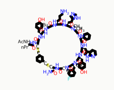 CCC[C@H](NC(C)=O)C(=O)N[C@H]1CSCc2cccc(c2)CSC[C@@H](C(N)=O)NC(=O)CN(C)C(=O)[C@H](Cc2ccc(F)cc2)N(C)C(=O)[C@H](Cc2ccc(O)cc2)NC(=O)[C@H](Cc2c[nH]c3ncccc23)NC(=O)[C@H](c2ccccc2)NC(=O)[C@H](C)N(C)C(=O)[C@H](CCc2cnc[nH]2)NC(=O)[C@H](CCCCN)NC(=O)[C@H](C(C)(C)C)NC(=O)[C@H](Cc2ccc(O)cc2)NC1=O